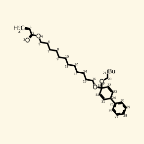 C=CC(=O)OCCCCCCCCCCCCOC1(OCC(C)CC)C=CC(c2ccccc2)C=C1